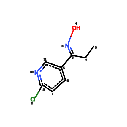 CCC(=NO)c1ccc(Cl)nc1